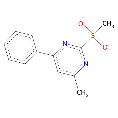 Cc1cc(-c2ccccc2)nc(S(C)(=O)=O)n1